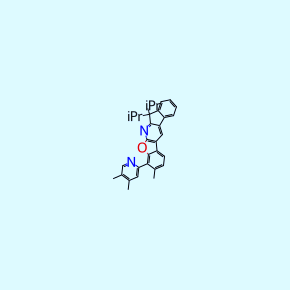 Cc1cnc(-c2c(C)ccc3c2oc2nc4c(cc23)-c2ccccc2C4(C(C)C)C(C)C)cc1C